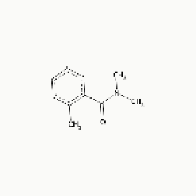 Cc1cc[c]cc1C(=O)N(C)C